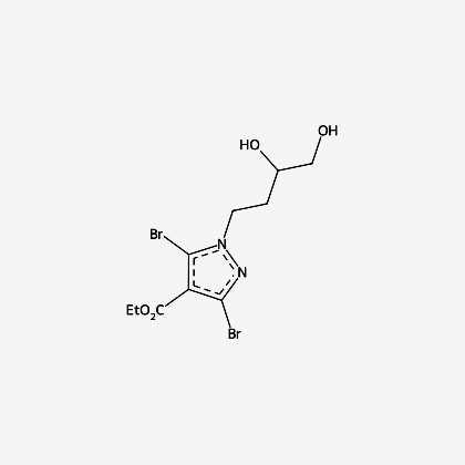 CCOC(=O)c1c(Br)nn(CCC(O)CO)c1Br